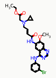 CCOC(=O)CN(CC=CC(=O)Nc1cc2c(Nc3cccc(Br)c3)ncnc2cc1OC)C1CC1